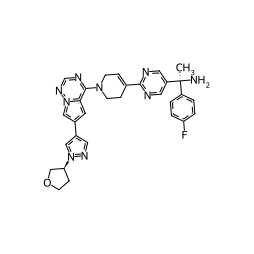 C[C@](N)(c1ccc(F)cc1)c1cnc(C2=CCN(c3ncnn4cc(-c5cnn([C@H]6CCOC6)c5)cc34)CC2)nc1